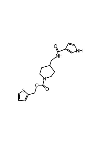 O=C(NCC1CCN(C(=O)OCc2cccs2)CC1)c1cc[nH]c1